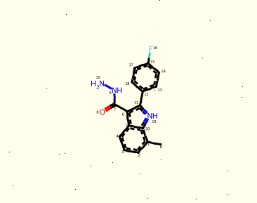 Cc1cccc2c(C(=O)NN)c(-c3ccc(F)cc3)[nH]c12